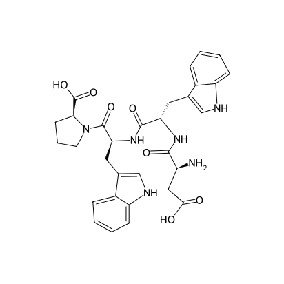 N[C@@H](CC(=O)O)C(=O)N[C@@H](Cc1c[nH]c2ccccc12)C(=O)N[C@@H](Cc1c[nH]c2ccccc12)C(=O)N1CCC[C@H]1C(=O)O